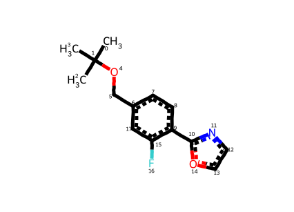 CC(C)(C)OCc1ccc(-c2ncco2)c(F)c1